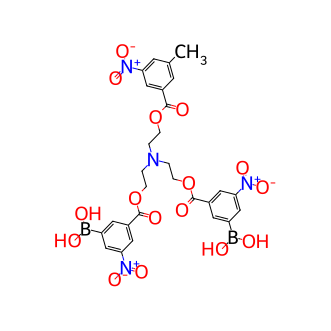 Cc1cc(C(=O)OCCN(CCOC(=O)c2cc(B(O)O)cc([N+](=O)[O-])c2)CCOC(=O)c2cc(B(O)O)cc([N+](=O)[O-])c2)cc([N+](=O)[O-])c1